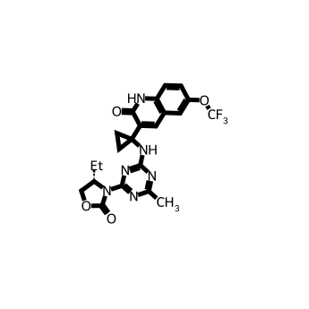 CC[C@H]1COC(=O)N1c1nc(C)nc(NC2(c3cc4cc(OC(F)(F)F)ccc4[nH]c3=O)CC2)n1